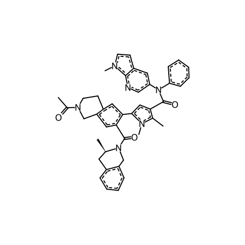 CC(=O)N1CCc2cc(-c3cc(C(=O)N(c4ccccc4)c4cnc5c(ccn5C)c4)c(C)n3C)c(C(=O)N3Cc4ccccc4C[C@H]3C)cc2C1